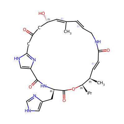 CC1=C\[C@@H](O)CC(=O)Cc2nc(c[nH]2)C(=O)N[C@H](Cc2c[nH]cn2)C(=O)O[C@H](C(C)C)[C@H](C)/C=C/C(=O)NC\C=C\1